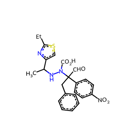 CCc1nc(C(C)NN(C(=O)O)C(C=O)(Cc2ccccc2)c2ccc([N+](=O)[O-])cc2)cs1